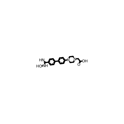 N=C(NO)c1ccc(-c2ccc(N3CCN(CC(=O)O)CC3)cc2)cc1